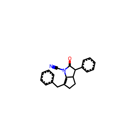 N#CN1C(=O)C(c2ccccc2)C2CCC(Cc3ccccc3)=C21